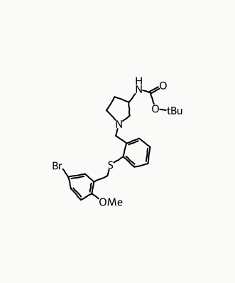 COc1ccc(Br)cc1CSc1ccccc1CN1CCC(NC(=O)OC(C)(C)C)C1